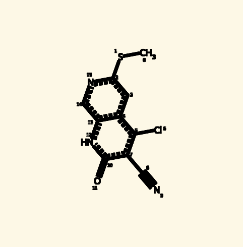 CSc1cc2c(Cl)c(C#N)c(=O)[nH]c2cn1